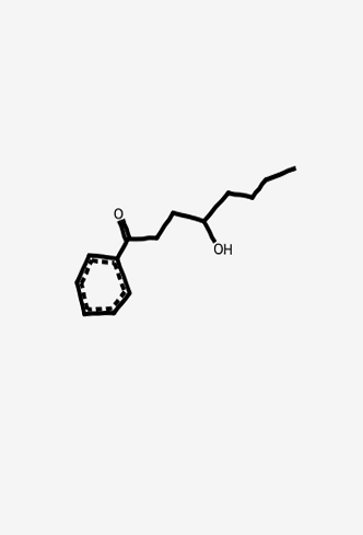 CCCCC(O)CCC(=O)c1ccccc1